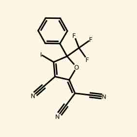 N#CC(C#N)=C1OC(c2ccccc2)(C(F)(F)F)C(I)=C1C#N